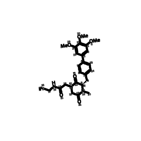 COc1cc(-c2ccc(C[C@H]3C(=O)N(CC(=O)NCC(C)C)CC(=O)N3C)cc2)cc(OC)c1OC